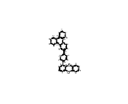 c1ccc2c(c1)Sc1cccc(-c3ccc(-c4ccc5c6ccccc6c6ccccc6c5c4)nc3)c1S2